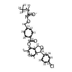 Cc1ncc2c(c1OC(=O)c1ccc(CO/N=[N+](\[O-])N(C)C(C)(C)C)cc1)CO[C@H]2c1ccc(Cl)cc1